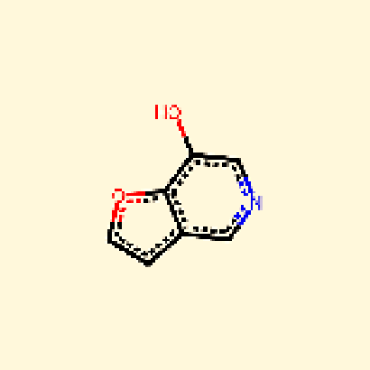 Oc1cncc2ccoc12